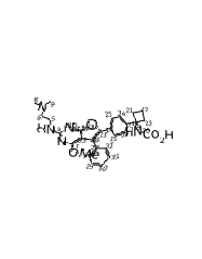 COc1nc(NCCN(C)C)nc2oc(-c3ccc(C4(NC(=O)O)CCC4)cc3)c(-c3ccccc3)c12